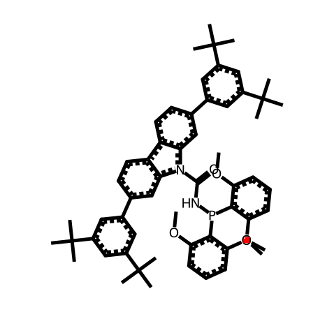 COc1cccc(OC)c1P(NC(=O)n1c2cc(-c3cc(C(C)(C)C)cc(C(C)(C)C)c3)ccc2c2ccc(-c3cc(C(C)(C)C)cc(C(C)(C)C)c3)cc21)c1c(OC)cccc1OC